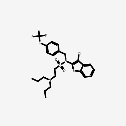 CCCN(CCC)CCS(=O)(=O)N(Cc1ccc(OC(F)(F)F)cc1)c1sc2ccccc2c1Cl